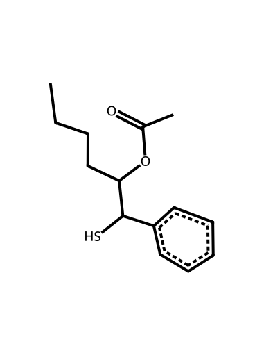 CCCCC(OC(C)=O)C(S)c1ccccc1